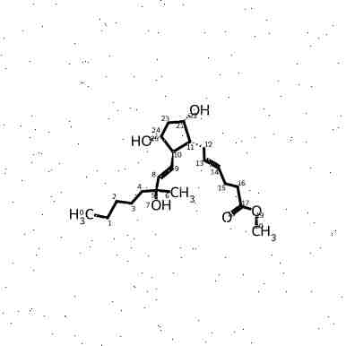 CCCCCC(C)(O)/C=C/[C@@H]1[C@@H](C/C=C/CCC(=O)OC)[C@@H](O)C[C@H]1O